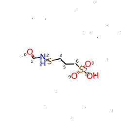 O=CNSCCCS(=O)(=O)O